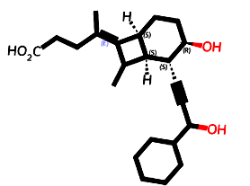 C/C(CCC(=O)O)=C1/C(C)[C@@H]2[C@@H](C#CC(O)C3CCCCC3)[C@H](O)CC[C@H]12